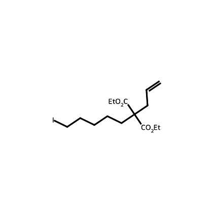 C=CCC(CCCCCI)(C(=O)OCC)C(=O)OCC